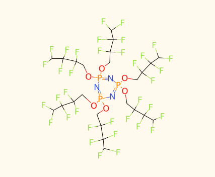 FC(F)C(F)(F)C(F)(F)COP1(OCC(F)(F)C(F)(F)C(F)F)=NP(OCC(F)(F)C(F)(F)C(F)F)(OCC(F)(F)C(F)(F)C(F)F)=NP(OCC(F)(F)C(F)(F)C(F)F)(OCC(F)(F)C(F)(F)C(F)F)=N1